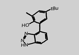 Cc1cc(C(C)(C)C)cc(-c2cccc3[nH]nnc23)c1O